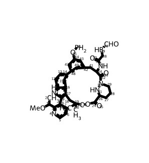 COC(C)c1ncccc1-c1[nH]c2ccc3cc2c1CC(C)(C)COC(=O)C1CCCN(N1)C(=O)C(NC(=O)CBC=O)Cc1cc(OP)cc-3c1